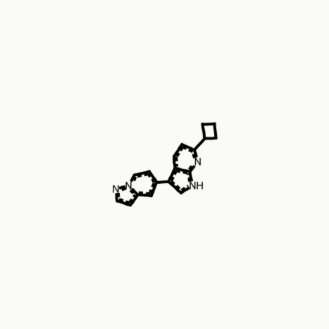 c1cc2cc(-c3c[nH]c4nc(C5CCC5)ccc34)ccn2n1